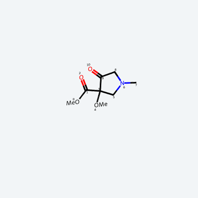 COC(=O)C1(OC)CN(C)CC1=O